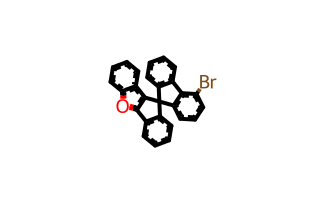 Brc1cccc2c1-c1ccccc1C21c2ccccc2-c2oc3ccccc3c21